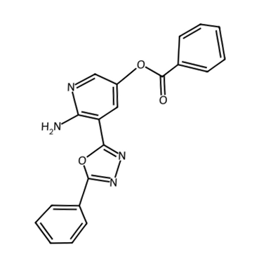 Nc1ncc(OC(=O)c2ccccc2)cc1-c1nnc(-c2ccccc2)o1